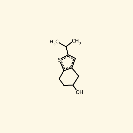 CC(C)c1cc2c(s1)CCC(O)C2